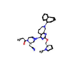 C=CC(=O)N1CCN(c2nc(OC[C@@H]3CCCN3C)nc3c2CCCN(c2cccc4ccccc24)C3)C[C@@H]1CC#N